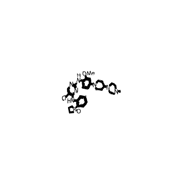 COc1cc(N2CCC(N3CCN(C)CC3)CC2)ccc1Nc1ncc(Cl)c(Nc2ccccc2P2(=O)CCCC2)n1